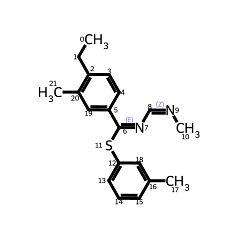 CCc1ccc(/C(=N\C=N/C)Sc2cccc(C)c2)cc1C